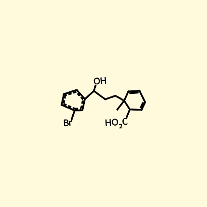 CC1(CCC(O)c2cccc(Br)c2)C=CC=CC1C(=O)O